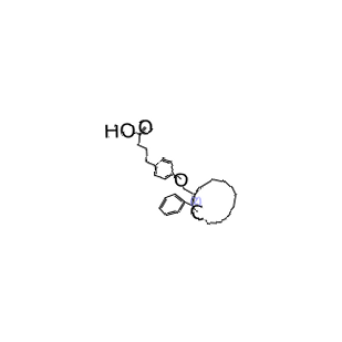 O=C(O)CCCc1ccc(OC/C2=C(\c3ccccc3)CCCCCCCCCC2)cc1